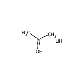 C[SiH](C)O.[LiH]